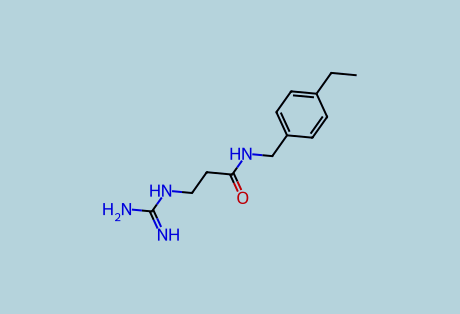 CCc1ccc(CNC(=O)CCNC(=N)N)cc1